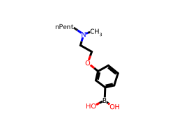 CCCCCN(C)CCOc1cccc(B(O)O)c1